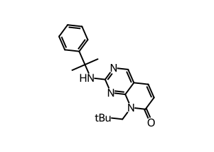 CC(C)(C)Cn1c(=O)ccc2cnc(NC(C)(C)c3ccccc3)nc21